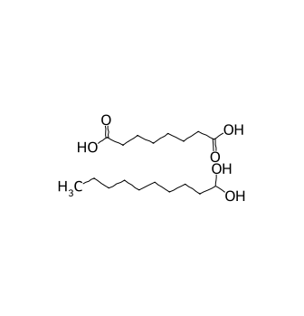 CCCCCCCCCC(O)O.O=C(O)CCCCCCC(=O)O